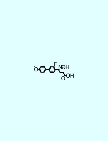 COc1ccc(-c2ccc(C(CCC(=O)O)=NO)c(F)c2)cc1